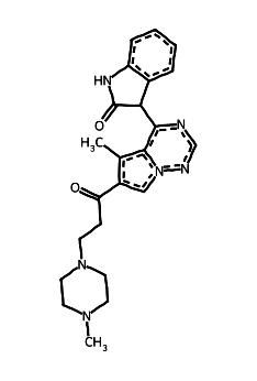 Cc1c(C(=O)CCN2CCN(C)CC2)cn2ncnc(C3C(=O)Nc4ccccc43)c12